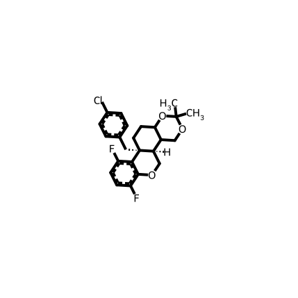 CC1(C)OCC2C(CC[C@]3(Cc4ccc(Cl)cc4)c4c(F)ccc(F)c4OC[C@H]23)O1